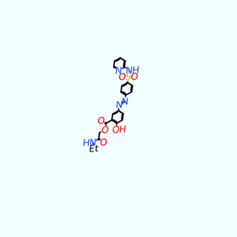 CCNC(=O)COC(=O)c1cc(N=Nc2ccc(S(=O)(=O)Nc3ccccn3)cc2)ccc1O